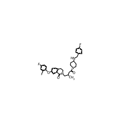 CC(CC(=O)N1CCC(NCc2ccc(F)cc2)CC1)CN1CCc2ccc(Oc3ccc(F)cc3F)cc2C1=O